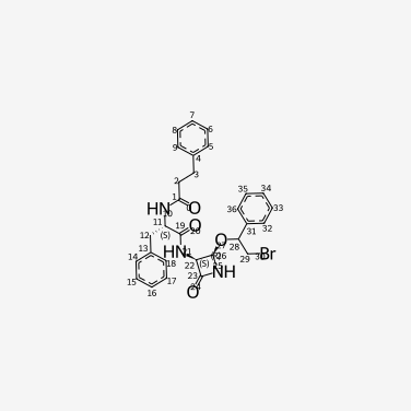 O=C(CCc1ccccc1)N[C@@H](Cc1ccccc1)C(=O)N[C@@H]1C(=O)N[C@@H]1OC(CBr)c1ccccc1